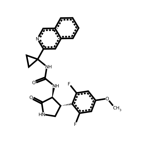 COc1cc(F)c([C@@H]2CNC(=O)[C@H]2NC(=O)NC2(c3cc4ccccc4cn3)CC2)c(F)c1